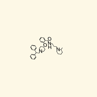 CC1CCCCN1CCCNC(=O)c1ccccc1OC1CCN(CC(c2ccccc2)c2ccccc2)CC1